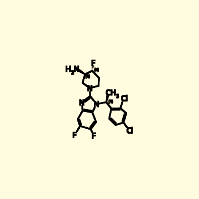 C[C@@H](c1ccc(Cl)cc1Cl)n1c(N2CC[C@@H](F)[C@H](N)C2)nc2cc(F)c(F)cc21